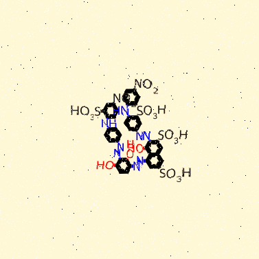 O=[N+]([O-])c1ccc(Nc2ccc(N=Nc3c(O)ccc(/N=N/c4cc(S(=O)(=O)O)cc5cc(S(=O)(=O)O)c(N=Nc6ccc(Nc7ccc([N+](=O)[O-])cc7S(=O)(=O)O)cc6)c(O)c45)c3O)cc2)c(S(=O)(=O)O)c1